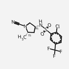 C[C@H]1C[C@@H](NS(=O)(=O)c2cc(C(F)(F)F)ccc2Cl)CN1C#N